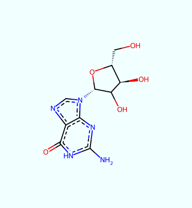 Nc1nc2c(ncn2[C@@H]2O[C@H](CO)[C@@H](O)C2O)c(=O)[nH]1